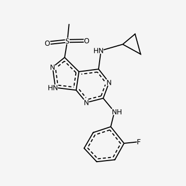 CS(=O)(=O)c1n[nH]c2nc(Nc3ccccc3F)nc(NC3CC3)c12